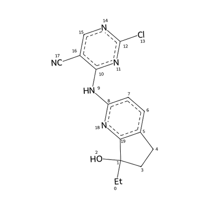 CCC1(O)CCc2ccc(Nc3nc(Cl)ncc3C#N)nc21